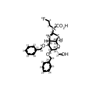 O=C(O)N(CCF)C1=N[C@@H]2[C@@H](OCc3ccccc3)[C@H](OCc3ccccc3)[C@@H](CO)O[C@@H]2S1